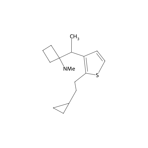 CNC1(C(C)c2ccsc2CCC2CC2)CCC1